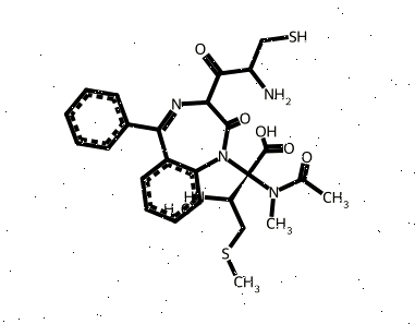 CNC(CSC)[C@@](C(=O)O)(N(C)C(C)=O)N1C(=O)C(C(=O)C(N)CS)N=C(c2ccccc2)c2ccccc21